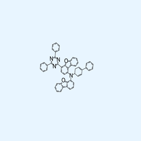 C1=CC(N(c2cccc3c2oc2ccccc23)c2ccc(-c3nc(-c4ccccc4)nc(-c4ccccc4)n3)c3oc4ccccc4c23)CC=C1c1ccccc1